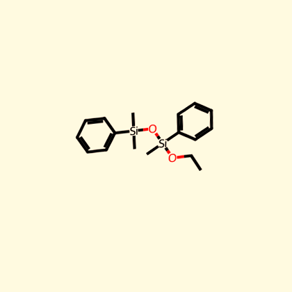 CCO[Si](C)(O[Si](C)(C)c1ccccc1)c1ccccc1